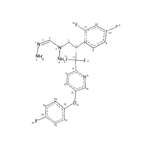 N/N=C\N(N)CC(c1ccc(F)cc1F)C(F)(F)c1ccc(Oc2ccc(F)cc2)cn1